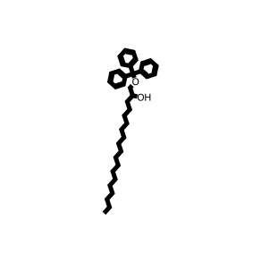 CCCCCCCCCCCCCCCCCC(O)COC(c1ccccc1)(c1ccccc1)c1ccccc1